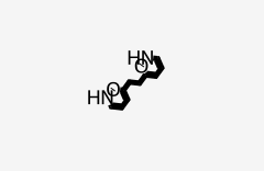 C1=CNOC(CCC2=CC=CNO2)=C1